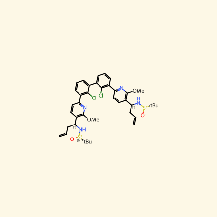 C=CC[C@H](N[S+]([O-])C(C)(C)C)c1ccc(-c2cccc(-c3cccc(-c4ccc([C@H](CC=C)N[S@+]([O-])C(C)(C)C)c(OC)n4)c3Cl)c2Cl)nc1OC